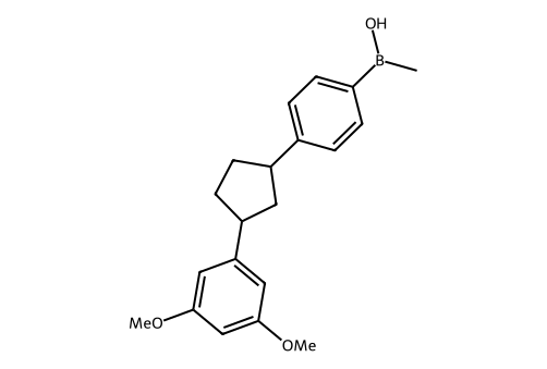 COc1cc(OC)cc(C2CCC(c3ccc(B(C)O)cc3)C2)c1